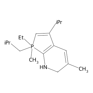 CCP1(C)(CC(C)C)C=C(C(C)C)C2=C1NCC(C)=C2